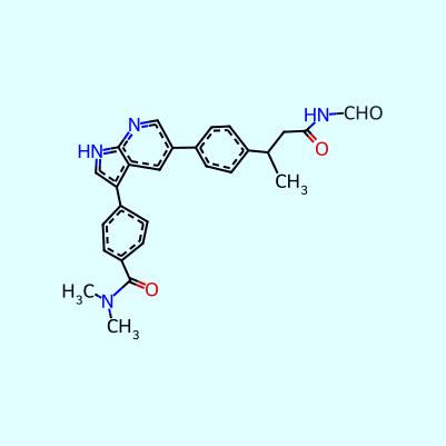 CC(CC(=O)NC=O)c1ccc(-c2cnc3[nH]cc(-c4ccc(C(=O)N(C)C)cc4)c3c2)cc1